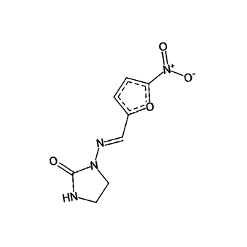 O=C1NCCN1N=Cc1ccc([N+](=O)[O-])o1